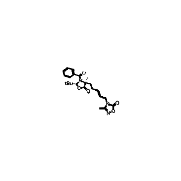 Cc1noc(=O)n1CC=CCC[C@@]1(C)C(=O)O[C@H](C(C)(C)C)N1C(=O)c1ccccc1